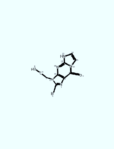 O=c1c2nc(Br)n(CCO)c2nc2[nH]ccn12